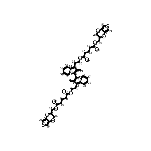 Cc1c(CCOC(=O)CCCC(=O)OCC2COc3cscc3O2)c2ccccn2c1-c1c(C)c(CCOC(=O)CCCC(=O)OCC2COc3cscc3O2)c2ccccn12